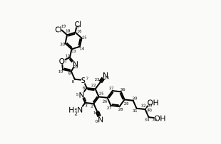 N#Cc1c(N)nc(SCc2coc(-c3ccc(Cl)c(Cl)c3)n2)c(C#N)c1-c1ccc(CC[C@@H](O)CO)cc1